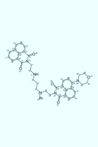 CC(C)N(CCCNCCN1C(=O)c2cccc3cccc(c23)C1=O)CCN1C(=O)c2cccc3c(N4CCOCC4)ccc(c23)C1=O